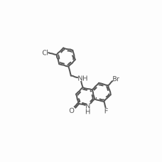 O=c1cc(NCc2cccc(Cl)c2)c2cc(Br)cc(F)c2[nH]1